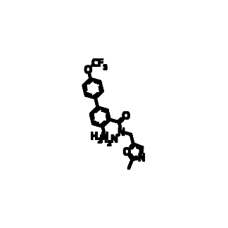 Cc1ncc(CN(N)C(=O)c2cc(-c3ccc(OC(F)(F)F)cc3)ccc2N)o1